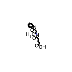 C/C(Cc1nc2ccccc2o1)=N\C(=O)CCCC(=O)O